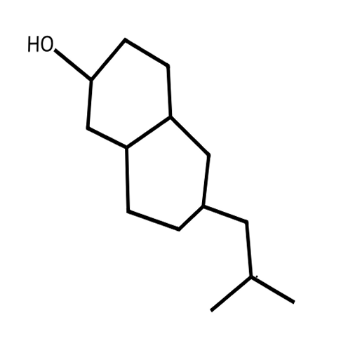 C[C](C)CC1CCC2CC(O)CCC2C1